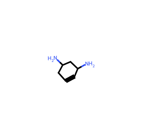 NC1C#CCC(N)C1